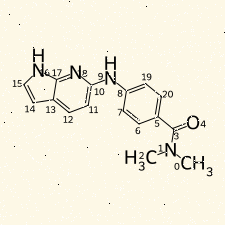 CN(C)C(=O)c1ccc(Nc2ccc3cc[nH]c3n2)cc1